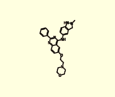 CN1Cc2cc(Nc3nc(-c4ccccc4)nc4ccc(OCCN5CCOCC5)cc34)ccc2N1